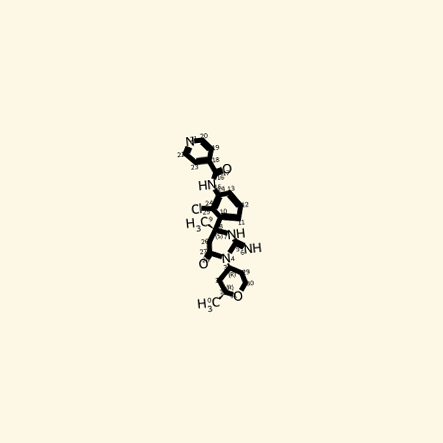 C[C@@H]1C[C@H](N2C(=N)N[C@](C)(c3cccc(NC(=O)c4ccncc4)c3Cl)CC2=O)CCO1